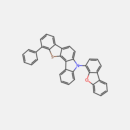 c1ccc(-c2cccc3c2sc2c3ccc3c2c2ccccc2n3-c2cccc3c2oc2ccccc23)cc1